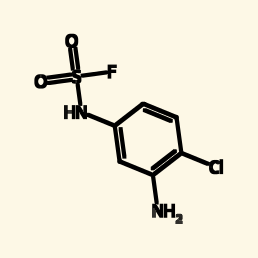 Nc1cc(NS(=O)(=O)F)ccc1Cl